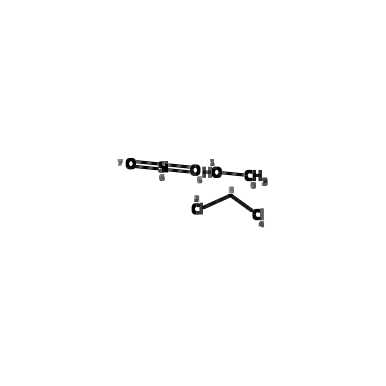 CO.ClCCl.O=[Si]=O